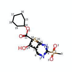 CS(=O)(=O)c1ncc2c(O)c(C(=O)OC3CCCCC3)sc2n1